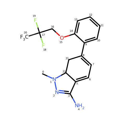 CN1N=C(N)C2=CC=C(c3ccccc3OCC(F)(F)C(F)(F)F)CC21